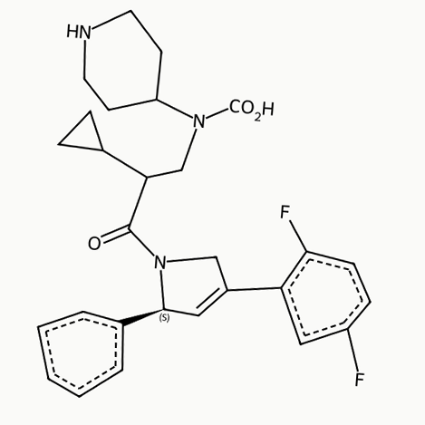 O=C(O)N(CC(C(=O)N1CC(c2cc(F)ccc2F)=C[C@H]1c1ccccc1)C1CC1)C1CCNCC1